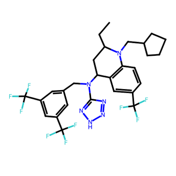 CCC1CC(N(Cc2cc(C(F)(F)F)cc(C(F)(F)F)c2)c2nn[nH]n2)c2cc(C(F)(F)F)ccc2N1CC1CCCC1